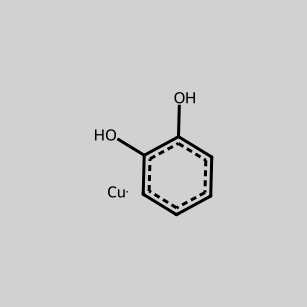 Oc1ccccc1O.[Cu]